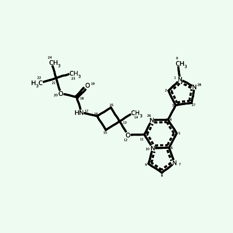 Cn1cc(-c2cc3nccn3c(OC3(C)CC(NC(=O)OC(C)(C)C)C3)n2)cn1